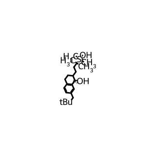 CC(C)(C)Cc1ccc2c(c1)[C@H](O)C(CCC(C)(C)[Si](C)(C)O)CC2